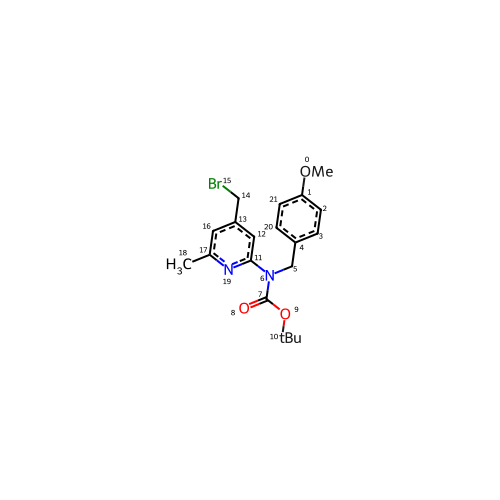 COc1ccc(CN(C(=O)OC(C)(C)C)c2cc(CBr)cc(C)n2)cc1